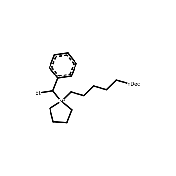 CCCCCCCCCCCCCCC[N+]1(C(CC)c2ccccc2)CCCC1